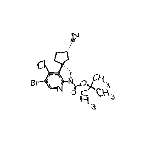 CC(C)(C)OC(=O)N1C[C@@]2(CC[C@H](C#N)C2)c2c1ncc(Br)c2Cl